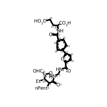 CCCCCC(C(=O)NCNC(=O)c1ccc(-c2ccc(C(=O)NC(CCC(=O)O)C(=O)O)cc2)o1)[C@@H](CC)N(O)C=O